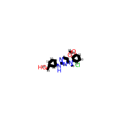 CN(c1ccnc(Nc2cccc(CO)c2)n1)c1c(Cl)ccc2c1OCO2